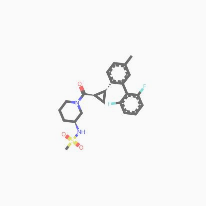 Cc1ccc([C@@H]2C[C@H]2C(=O)N2CCC[C@H](NS(C)(=O)=O)C2)c(-c2c(F)cccc2F)c1